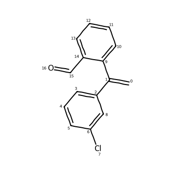 C=C(c1cccc(Cl)c1)c1ccccc1C=O